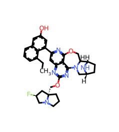 CCc1cccc2cc(O)cc(-c3cc4nc(OC[C@]56CCCN5C[C@@H](F)C6)nc5c4c(n3)OC[C@@H]3[C@@H]4CC[C@H](CN53)N4)c12